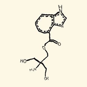 NC(CO)(CO)COC(=O)c1cccc2[nH]cnc12